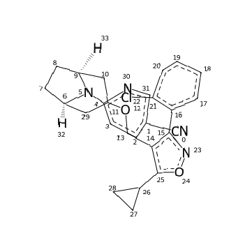 N#Cc1ccc(N2[C@@H]3CC[C@H]2CC(OCc2c(-c4ccccc4Cl)noc2C2CC2)C3)nc1